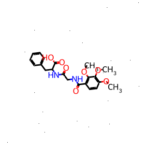 COc1ccc(C(=O)NCC(=O)NC(Cc2ccccc2)C(=O)O)c(OC)c1OC